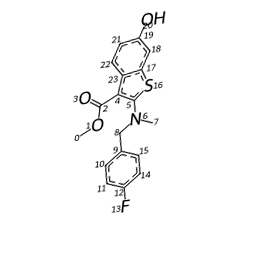 COC(=O)c1c(N(C)Cc2ccc(F)cc2)sc2cc(O)ccc12